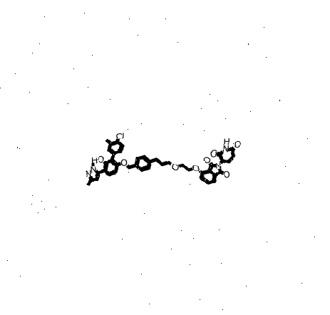 Cc1cc(-c2ccc(OCc3ccc(CCCOCCOc4cccc5c4C(=O)N(C4CCC(=O)NC4=O)C5=O)cc3)c(-c3ccc(Cl)c(C)c3)c2O)n(C)n1